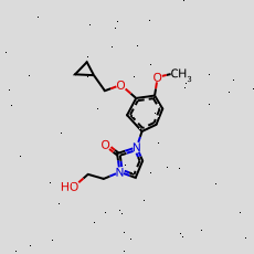 COc1ccc(-n2ccn(CCO)c2=O)cc1OCC1CC1